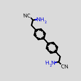 N#CC(N)Cc1ccc(-c2ccc(CC(N)C#N)cc2)cc1